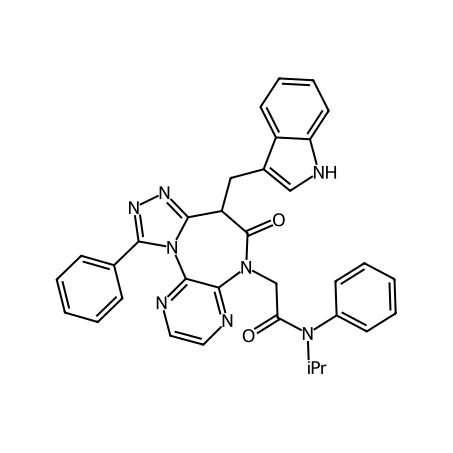 CC(C)N(C(=O)CN1C(=O)C(Cc2c[nH]c3ccccc23)c2nnc(-c3ccccc3)n2-c2nccnc21)c1ccccc1